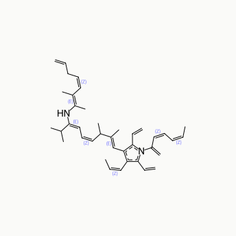 C=CC/C=C\C(C)=C(/C)N/C(=C/C=C\C(C)/C(C)=C/c1c(/C=C\C)c(C=C)n(C(=C)/C=C\C=C/C)c1C=C)C(C)C